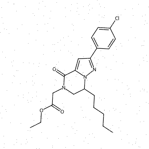 CCCCCC1CN(CC(=O)OCC)C(=O)c2cc(-c3ccc(Cl)cc3)nn21